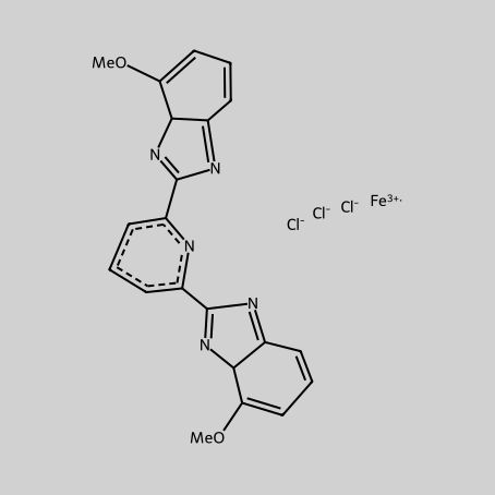 COC1=CC=CC2=NC(c3cccc(C4=NC5C(OC)=CC=CC5=N4)n3)=NC12.[Cl-].[Cl-].[Cl-].[Fe+3]